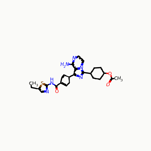 CCc1cnc(NC(=O)C2=CCC(c3nc(C4CCC(OC(C)=O)CC4)n4ccnc(N)c34)C=C2)s1